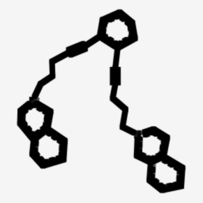 C(#Cc1ccccc1C#CCCC[n+]1ccc2ccccc2c1)CCC[n+]1ccc2ccccc2c1